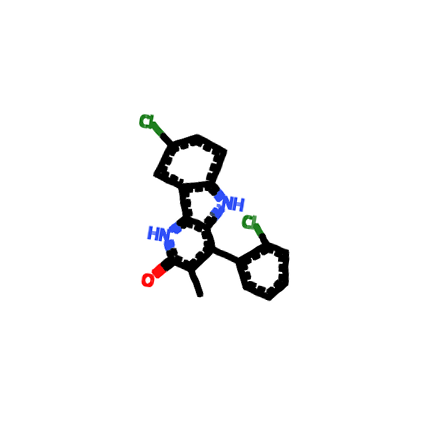 Cc1c(-c2ccccc2Cl)c2[nH]c3ccc(Cl)cc3c2[nH]c1=O